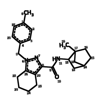 Cc1ccc(Cn2nc(C(=O)NC3CC4CCC3(C)C4)c3c2CCCC3)cc1